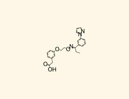 CC/C(=N\OCCOc1cccc(CC(=O)O)c1)c1cccc(-n2cccn2)c1